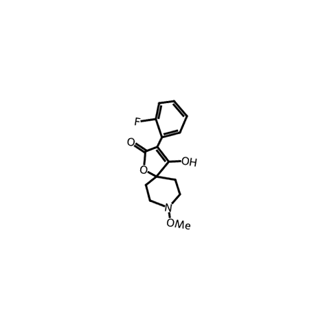 CON1CCC2(CC1)OC(=O)C(c1ccccc1F)=C2O